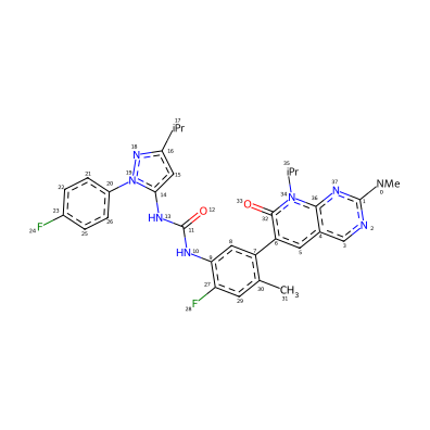 CNc1ncc2cc(-c3cc(NC(=O)Nc4cc(C(C)C)nn4-c4ccc(F)cc4)c(F)cc3C)c(=O)n(C(C)C)c2n1